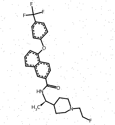 C[C@@H](NC(=O)c1ccc2c(Oc3ccc(C(F)(F)F)cc3)cccc2c1)C1CCN(CCF)CC1